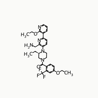 CCOc1ccc(C(=O)N2CCN(c3ccc(-c4cccnc4OCC)nc3CN)[C@H](CC)C2)c(C(F)(F)F)c1